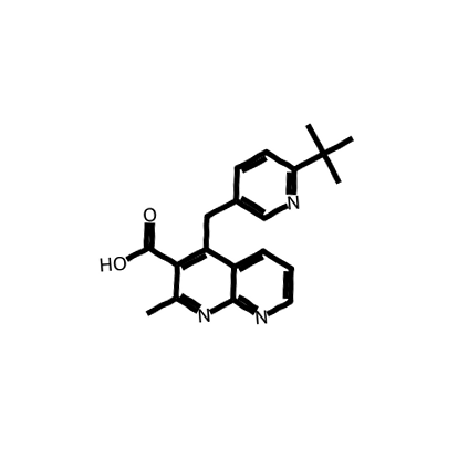 Cc1nc2ncccc2c(Cc2ccc(C(C)(C)C)nc2)c1C(=O)O